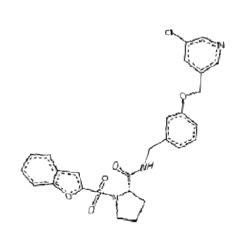 O=C(NCc1cccc(OCc2cncc(Cl)c2)c1)[C@@H]1CCCN1S(=O)(=O)c1cc2ccccc2o1